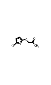 CC(=O)COc1ccc(Cl)s1